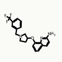 Nc1ccc2cccc(OC3CCN(Cc4cccc(C(F)(F)F)c4)C3)c2n1